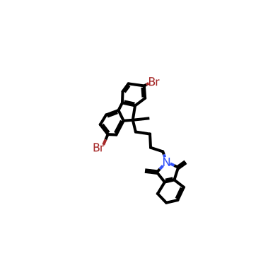 C=c1c2c(c(=C)n1CCCCC1(C)c3cc(Br)ccc3-c3ccc(Br)cc31)CCC=C2